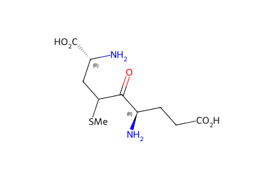 CSC(C[C@@H](N)C(=O)O)C(=O)[C@H](N)CCC(=O)O